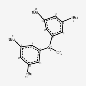 CC(C)(C)c1cc([S+]([O-])c2cc(C(C)(C)C)cc(C(C)(C)C)c2)cc(C(C)(C)C)c1